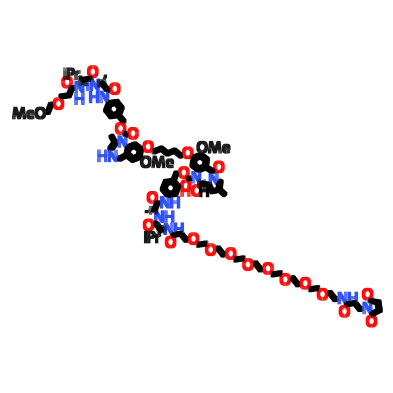 COCCOCCC(=O)N[C@H](C(=O)N[C@H](C)C(=O)Nc1ccc(COC(=O)N2C(C)=CNCc3cc(OC)c(OCCCCCOc4cc5c(cc4OC)C(=O)N4C=C(C)C[C@H]4[C@H](O)N5C(=O)OCc4ccc(NC(=O)[C@@H](C)NC(=O)[C@H](NC(=O)CCOCCOCCOCCOCCOCCOCCOCCOCCNC(=O)CCN5C(=O)C=CC5=O)C(C)C)cc4)cc32)cc1)C(C)C